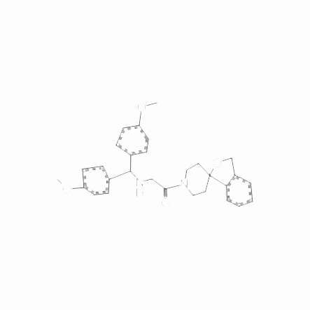 COc1ccc(C(NCC(=O)N2CCC3(CC2)OCc2ccccc23)c2ccc(OC)cc2)cc1